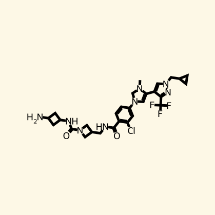 CN1CN(c2ccc(C(=O)NCC3CN(C(=O)NC4CC(N)C4)C3)c(Cl)c2)C=C1c1cn(CC2CC2)nc1C(F)(F)F